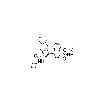 Cc1c(C(=O)NC2CCC2)cc(-c2ccc(S(=O)(=O)NC(C)(C)C)c3ccccc23)n1CC1CCCCC1